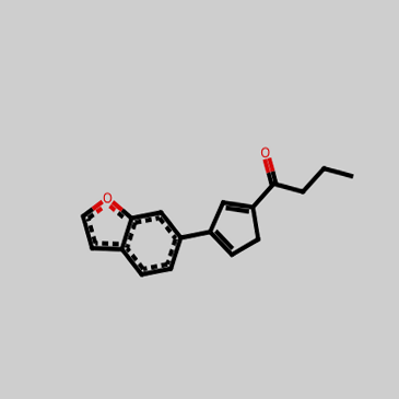 CCCC(=O)C1=CC(c2ccc3ccoc3c2)=CC1